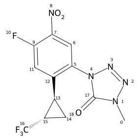 Cn1nnn(-c2cc([N+](=O)[O-])c(F)cc2[C@H]2C[C@@H]2C(F)(F)F)c1=O